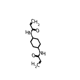 C=CC(=O)NC1CCC(NC(=O)C=C)CC1